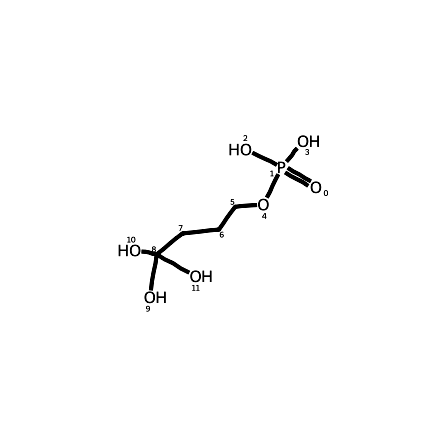 O=P(O)(O)OCCCC(O)(O)O